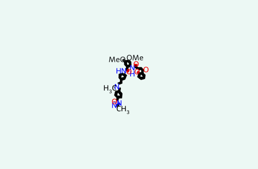 COc1cc(NC(=O)c2cc(=O)c3ccccc3o2)c(C(=O)Nc2ccc(CCN(C)Cc3ccc(-c4nc(C)no4)cc3)cc2)cc1OC